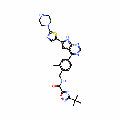 Cc1cc(-c2ncnc3[nH]c(-c4cnc(N5CCNCC5)s4)cc23)ccc1CNC(=O)c1nc(C(C)(C)C)no1